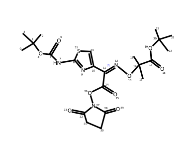 CC(C)(C)OC(=O)Nc1nc(/C(=N/OC(C)(C)C(=O)OC(C)(C)C)C(=O)ON2C(=O)CCC2=O)cs1